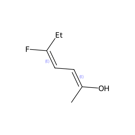 CC/C(F)=C\C=C(/C)O